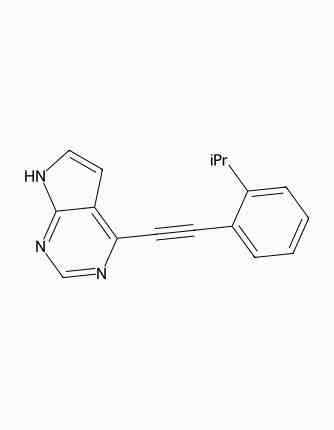 CC(C)c1ccccc1C#Cc1ncnc2[nH]ccc12